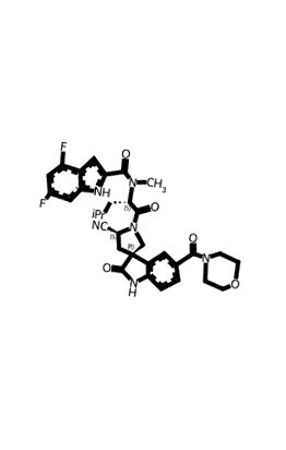 CC(C)C[C@@H](C(=O)N1C[C@]2(C[C@H]1C#N)C(=O)Nc1ccc(C(=O)N3CCOCC3)cc12)N(C)C(=O)c1cc2c(F)cc(F)cc2[nH]1